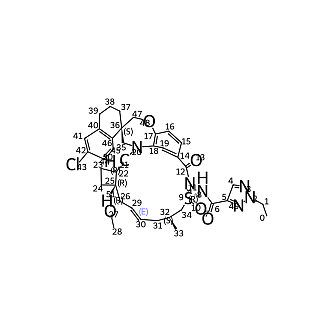 CCn1ncc(C(=O)N[S@@]2(=O)=NC(=O)c3ccc4c(c3)N(C[C@@H]3CC[C@H]3[C@@H](OC)/C=C/C[C@H](C)C2)C[C@@]2(CCCc3cc(Cl)ccc32)CO4)n1